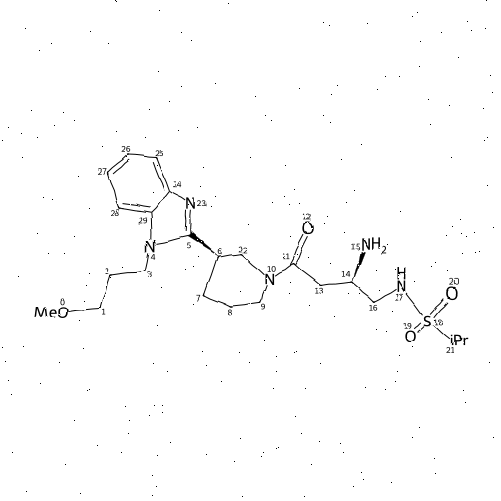 COCCCn1c([C@@H]2CCCN(C(=O)C[C@@H](N)CNS(=O)(=O)C(C)C)C2)nc2ccccc21